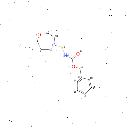 O=C(NSN1CCCOCC1)OCc1ccccc1